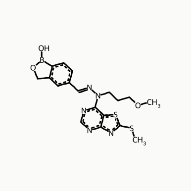 COCCCN(/N=C/c1ccc2c(c1)COB2O)c1ncnc2nc(SC)sc12